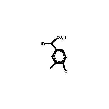 Cc1cc(C(C(=O)O)C(C)C)ccc1Cl